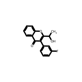 CC(O)c1oc2ccccc2c(=O)c1-c1cccc(F)c1